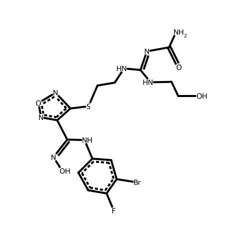 NC(=O)/N=C(\NCCO)NCCSc1nonc1/C(=N/O)Nc1ccc(F)c(Br)c1